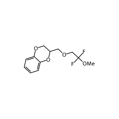 COC(F)(F)COCC1COc2ccccc2O1